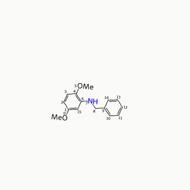 COc1ccc(OC)c(NCc2ccccc2)c1